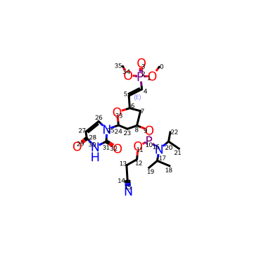 COP(=O)(/C=C/C1CC(OP(OCCC#N)N(C(C)C)C(C)C)CC(n2ccc(=O)[nH]c2=O)O1)OC